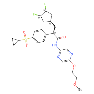 CCOCCOc1cnc(NC(=O)[C@H](C[C@H]2C[C@@H](F)[C@@H](F)C2)c2ccc(S(=O)(=O)C3CC3)cc2)cn1